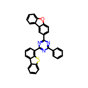 c1ccc(-c2nc(-c3ccc4oc5ccccc5c4c3)nc(-c3cccc4c3sc3ccccc34)n2)cc1